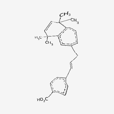 CC1(C)C=CC(C)(C)c2cc(C/C=C/c3ccc(C(=O)O)cc3)ccc21